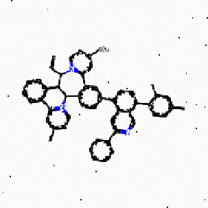 C=CC1C2c3ccccc3-c3cc(C)cc[n+]3C2c2ccc(-c3ccc(-c4ccc(C)cc4C)c4cnc(-c5ccccc5)cc34)cc2-c2cc(C(C)(C)C)cc[n+]21